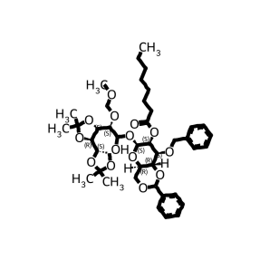 CCCCCCCC(=O)O[C@@H]1[C@H](OC(O)[C@@H](OCOC)[C@H]2OC(C)(C)O[C@@H]2[C@@H]2COC(C)(C)O2)O[C@@H]2COC(c3ccccc3)O[C@H]2[C@@H]1OCc1ccccc1